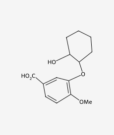 COc1ccc(C(=O)O)cc1OC1CCCCC1O